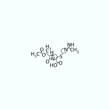 CC(=N)N1CCC(SC2=C(C(=O)O)N3C(=O)C(C(C)OC(C)=O)[C@H]3C2)C1